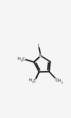 Cc1cn(I)c(C)c1C